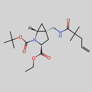 C=CCC(C)(C)C(=O)NC[C@]12C[C@@H](C(=O)OCC)N(C(=O)OC(C)(C)C)[C@@H]1C2